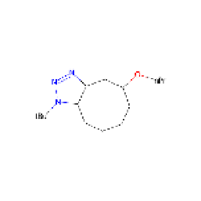 CCCOC1CCCCC2C(C1)N=NN2C(C)(C)C